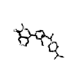 Cc1cc(-c2cn(C)c(=O)c3cnccc23)ccc1C(C)N1CCC(C(C)C)CC1